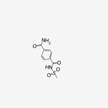 CS(=O)(=O)NC(=O)c1ccc(C(N)=O)cc1